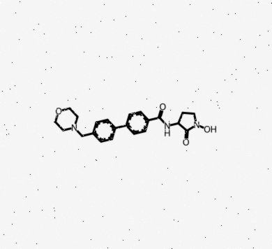 O=C(NC1CCN(O)C1=O)c1ccc(-c2ccc(CN3CCOCC3)cc2)cc1